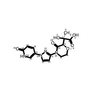 C[C@](O)(C(=O)O)[C@H]1OCCN(c2ccn(-c3ccc(=O)[nH]c3)n2)C1=O